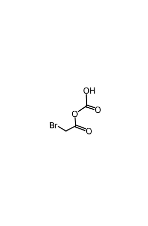 O=C(O)OC(=O)CBr